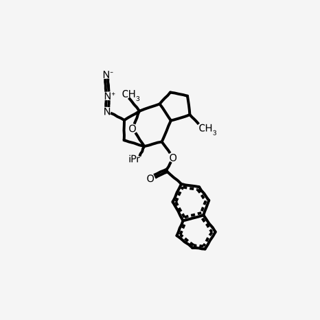 CC1CCC2C1C(OC(=O)c1ccc3ccccc3c1)C1(C(C)C)CC(N=[N+]=[N-])C2(C)O1